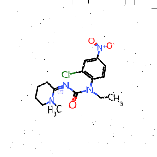 CCN(C(=O)/N=C1/CCCCN1C)c1ccc([N+](=O)[O-])cc1Cl